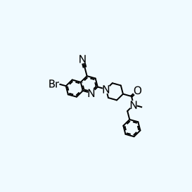 CN(Cc1ccccc1)C(=O)C1CCN(c2cc(C#N)c3cc(Br)ccc3n2)CC1